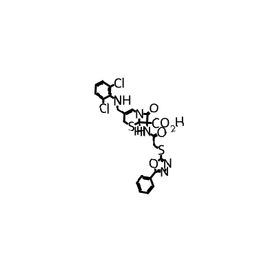 O=C(CSc1nnc(-c2ccccc2)o1)NC1(C(=O)O)C(=O)N2C=C(CNc3c(Cl)cccc3Cl)CS[C@H]21